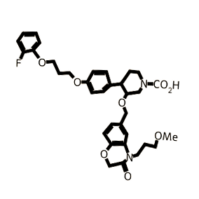 COCCCN1C(=O)COc2ccc(COC3CN(C(=O)O)CCC3c3ccc(OCCCOc4ccccc4F)cc3)cc21